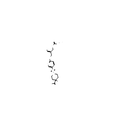 CC(C)(C)OC(=O)NCC(=CF)COc1ccc(S(=O)(=O)N2CCC(C)(C(N)=O)CC2)cn1